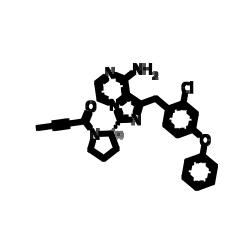 CC#CC(=O)N1CCC[C@H]1c1nc(Cc2ccc(Oc3ccccc3)cc2Cl)c2c(N)nccn12